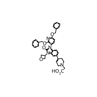 O=C(O)CN1CC=C(c2ccc3c(c2)n(C2COC2)c(=O)n3-c2ccc(OCc3ccccc3)nc2OCc2ccccc2)CC1